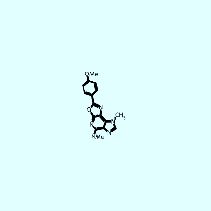 CNc1nc2oc(-c3ccc(OC)cc3)nc2c2c1ncn2C